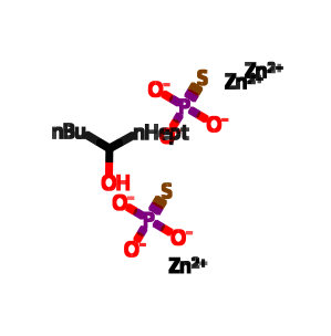 CCCCCCCC(O)CCCC.[O-]P([O-])([O-])=S.[O-]P([O-])([O-])=S.[Zn+2].[Zn+2].[Zn+2]